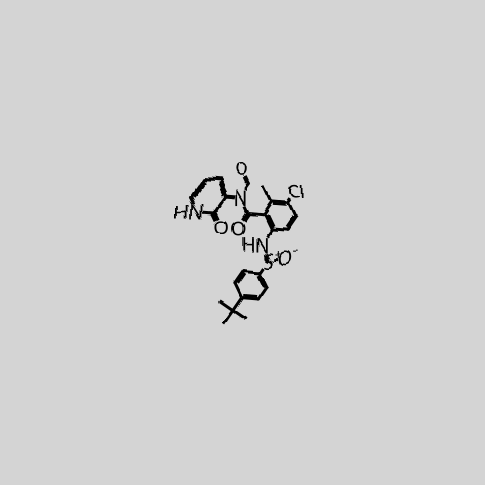 Cc1c(Cl)ccc(N[S+]([O-])c2ccc(C(C)(C)C)cc2)c1C(=O)N(C=O)c1ccc[nH]c1=O